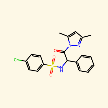 Cc1cc(C)n(C(=O)C(NS(=O)(=O)c2ccc(Cl)cc2)c2ccccc2)n1